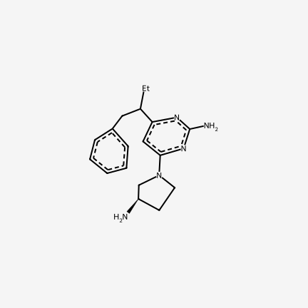 CCC(Cc1ccccc1)c1cc(N2CC[C@@H](N)C2)nc(N)n1